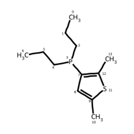 CCCP(CCC)c1cc(C)sc1C